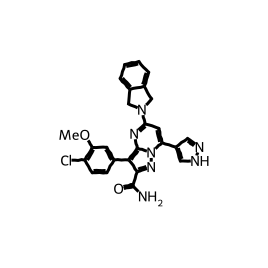 COc1cc(-c2c(C(N)=O)nn3c(-c4cn[nH]c4)cc(N4Cc5ccccc5C4)nc23)ccc1Cl